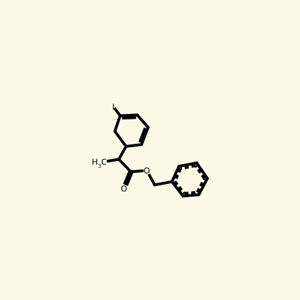 CC(C(=O)OCc1ccccc1)C1C=CC=C(I)C1